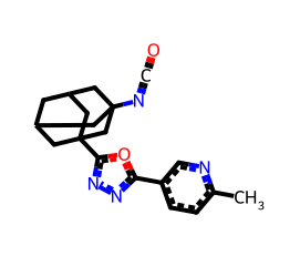 Cc1ccc(-c2nnc(C34CC5CC(CC(N=C=O)(C5)C3)C4)o2)cn1